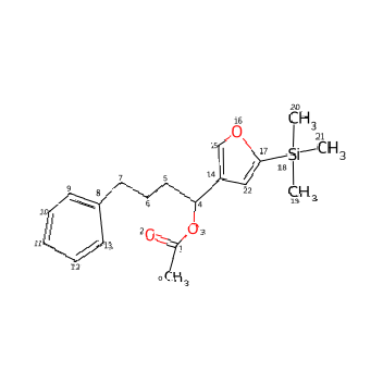 CC(=O)OC(CCCc1ccccc1)c1coc([Si](C)(C)C)c1